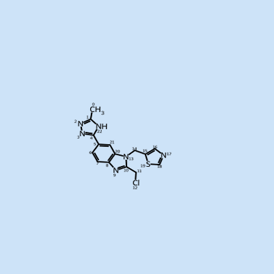 Cc1nnc(-c2ccc3nc(CCl)n(Cc4cncs4)c3c2)[nH]1